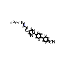 CCCCC/C=C/COc1cnc(-c2ccc(-c3ccc(C#N)cc3)cc2)nc1